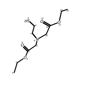 CCOC(=O)CN(CCS)CC(=O)OCC